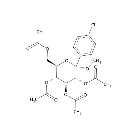 CO[C@@]1(c2ccc(Cl)cc2)O[C@H](COC(C)=O)[C@@H](OC(C)=O)[C@H](OC(C)=O)[C@H]1OC(C)=O